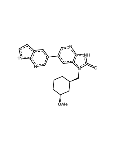 CO[C@H]1CCC[C@@H](Cn2c(=O)[nH]c3ncc(-c4cnc5[nH]ccc5c4)cc32)C1